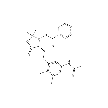 CC(=O)Nc1cc(F)c(C)c(CC[C@H]2C(=O)OC(C)(C)N2OC(=O)c2ccccc2)c1